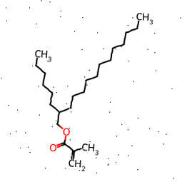 C=C(C)C(=O)OCC(CCCCCC)CCCCCCCCCCCC